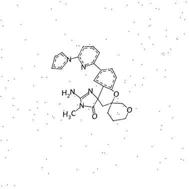 CN1C(=O)C2(CC3(CCCOC3)Oc3ccc(-c4cccc(-n5cccc5)n4)cc32)N=C1N